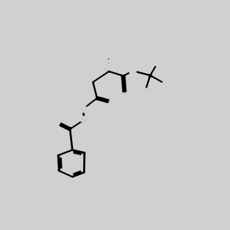 C[C@@H](CC(=O)NNC(=O)c1ccccc1)C(=O)OC(C)(C)C